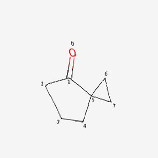 O=C1CCCC12CC2